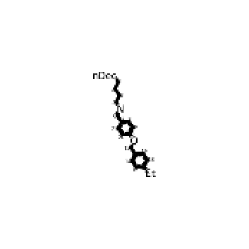 CCCCCCCCCCCCCCN=Cc1ccc(OCc2ccc(CC)cc2)cc1